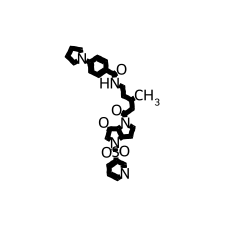 CC(CCNC(=O)c1ccc(N2CCCC2)cc1)CC(=O)N1CCC2C1C(=O)CN2S(=O)(=O)c1cccnc1